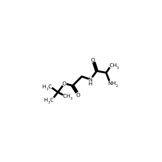 CC(N)C(=O)NCC(=O)OC(C)(C)C